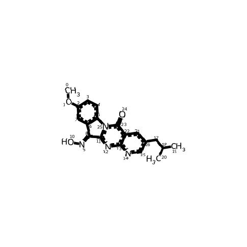 COc1ccc2c(c1)/C(=N\O)c1nc3ncc(CC(C)C)cc3c(=O)n1-2